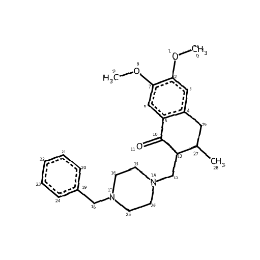 COc1cc2c(cc1OC)C(=O)C(CN1CCN(Cc3ccccc3)CC1)C(C)C2